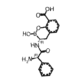 N[C@@H](C(=O)N[C@H]1Cc2cccc(C(=O)O)c2OB1O)c1ccccc1